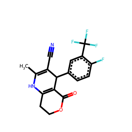 CC1=C(C#N)C(c2ccc(F)c(C(F)(F)F)c2)C2=C(CCOC2=O)N1